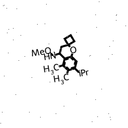 CONC1CC2(CCC2)Oc2cc(C(C)C)c(C)c(C)c21